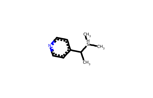 CC(c1ccncc1)[SiH](C)C